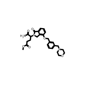 COC(=O)CCC(C(N)=O)N1Cc2c(OCc3cccc(CN4CCOCC4)c3)cccc2C1=O